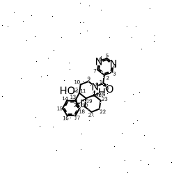 O=C(c1cncnc1)N1CC[C@](O)(c2ccccc2)[C@H]2CCCC[C@H]21